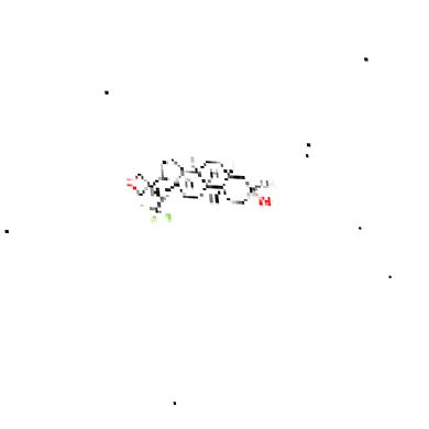 C[C@@]1(O)CC[C@H]2[C@H](CC[C@@H]3[C@@H]2CC[C@]2(C)[C@@H](C4(CC(F)(F)F)COC4)CC[C@@H]32)C1